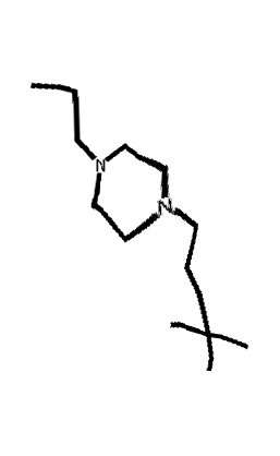 CCCN1CCN(CCCC(C)(C)C)CC1